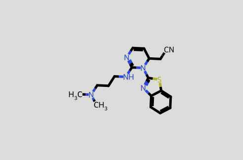 CN(C)CCCNC1=NC=CC(CC#N)N1c1nc2ccccc2s1